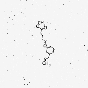 COC(=O)CCCCOc1cccc(CSC)c1